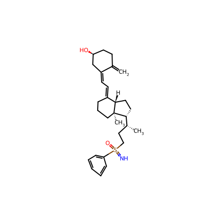 C=C1CC[C@H](O)C/C1=C/C=C1\CCC[C@]2(C)[C@@H]([C@H](C)CCS(=N)(=O)c3ccccc3)CC[C@@H]12